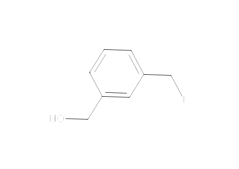 OCc1cccc(CI)c1